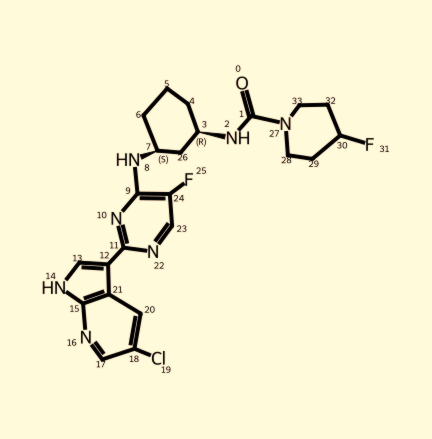 O=C(N[C@@H]1CCC[C@H](Nc2nc(-c3c[nH]c4ncc(Cl)cc34)ncc2F)C1)N1CCC(F)CC1